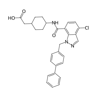 O=C(O)CC1CCC(NC(=O)c2ccc(Cl)c3cnn(Cc4ccc(-c5ccccc5)cc4)c23)CC1